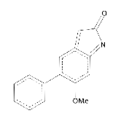 COc1cc2c(cc1-c1ccccc1)=CC(=O)N=2